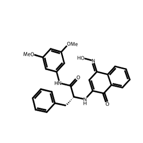 COc1cc(NC(=O)[C@@H](Cc2ccccc2)NC2=CC(=NO)c3ccccc3C2=O)cc(OC)c1